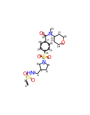 C=CS(=O)(=O)NCC1CCN(S(=O)(=O)c2ccc(C(=O)N(C)C3CCOCC3)cc2)C1